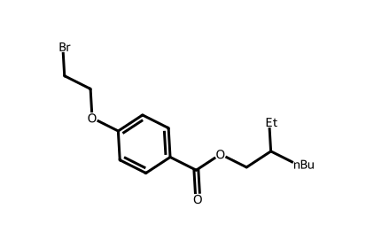 CCCCC(CC)COC(=O)c1ccc(OCCBr)cc1